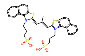 CC(/C=C1\Sc2ccc3ccccc3c2N1CCCS(=O)(=O)O)=C\c1sc2ccc3ccccc3c2[n+]1CCCS(=O)(=O)O